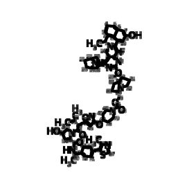 CCc1cccc2cc(O)cc(-c3ncc4c(N5CC6CCC(C5)N6)nc(OC[C@]56CCCN5[C@H](COC(=O)N5CCC(Oc7cc([C@H](C(=O)N8C[C@H](O)C[C@H]8C(=O)N[C@@H](C)c8ccc(-c9scnc9C)cc8)C(C)C)on7)CC5)CC6)nc4c3F)c12